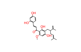 C=C(C)C(CC=C(C)C)Cc1c(O)cc(OC)c(C(=O)C=Cc2ccc(O)cc2O)c1O